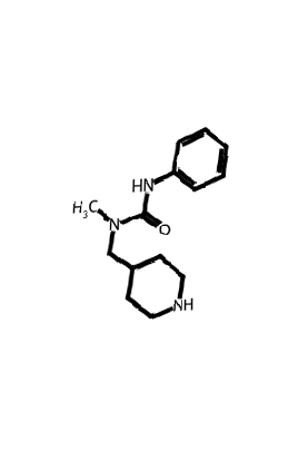 CN(CC1CCNCC1)C(=O)Nc1ccccc1